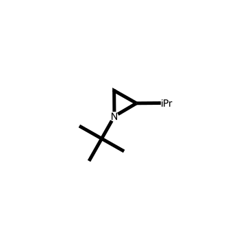 CC(C)C1CN1C(C)(C)C